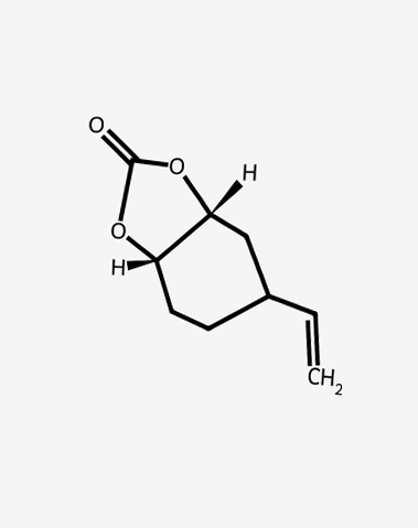 C=CC1CC[C@@H]2OC(=O)O[C@@H]2C1